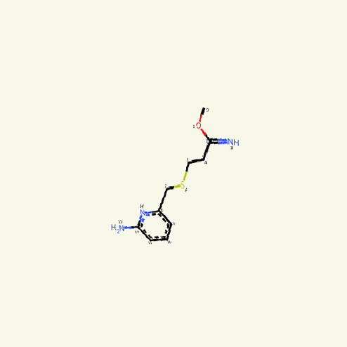 COC(=N)CCSCc1cccc(N)n1